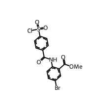 COC(=O)c1cc(Br)ccc1NC(=O)c1ccc(S(=O)(=O)Cl)cc1